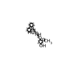 COc1cc(O)ccc1OCCNCC(O)Cn1c2ccccc2c2ccccc21